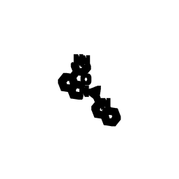 O=c1c2c(-c3ccnnc3)cccc2ccn1C1CC1c1ccc2ccccc2n1